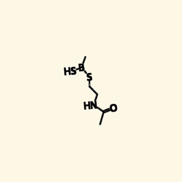 CB(S)SCCNC(C)=O